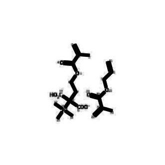 C=C(C)C(=O)OCCC(C(=O)[O-])(C(=O)O)[N+](C)(C)C.C=CCOC(=O)C(=C)C